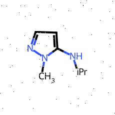 CC(C)Nc1ccnn1C